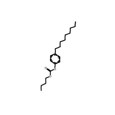 CCCCCCCCCc1ccc(OC(=O)OCCCC)cc1